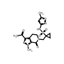 Cc1cc(NS(=O)(=O)C2(CN3CCc4c(C(N)=O)nn(C)c4C3=O)CC2)no1